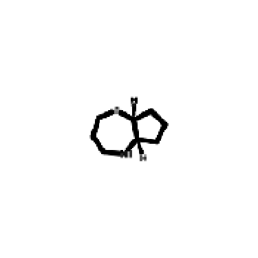 C1CN[C@H]2CCC[C@@H]2OC1